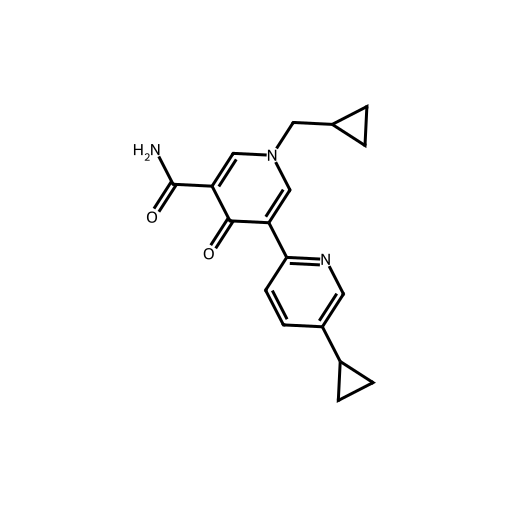 NC(=O)c1cn(CC2CC2)cc(-c2ccc(C3CC3)cn2)c1=O